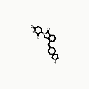 O=C1CCC(N2Cc3c(C=C4CCC5(CCNC5)CC4)cccc3C2=O)C(=O)N1